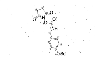 CC(C)COc1ccc(CNC(=O)ON2C(=O)CCC2=O)cc1